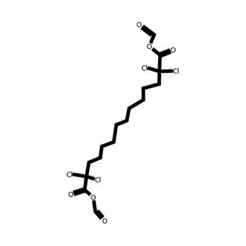 O=COC(=O)C(Cl)(Cl)CCCCCCCCCCC(Cl)(Cl)C(=O)OC=O